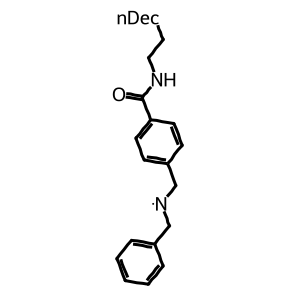 CCCCCCCCCCCCNC(=O)c1ccc(C[N]Cc2ccccc2)cc1